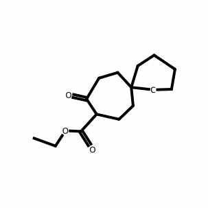 CCOC(=O)C1CCC2(CCCCC2)CCC1=O